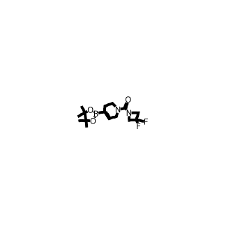 CC1(C)OB(C2=CCN(C(=O)N3CC(F)(F)C3)CC2)OC1(C)C